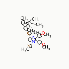 CCCCC(CC)C[Si]1(CC(CC)CCCC)c2cc(C)ccc2-c2ccc(-c3ccc(-c4ccc(-c5ccc(C)s5)c5nc(-c6ccc(OC)cc6)c(-c6ccc(OC)cc6)nc45)s3)cc21